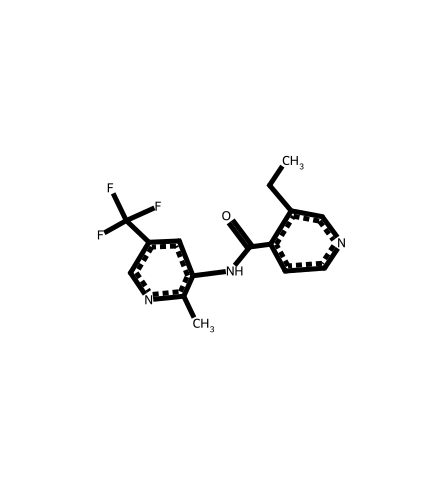 CCc1cnccc1C(=O)Nc1cc(C(F)(F)F)cnc1C